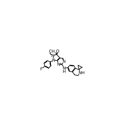 CCn1c(=O)c2cnc(Nc3ccc4c(c3)CCNC43CC3)nc2n1-c1ccc(F)cc1